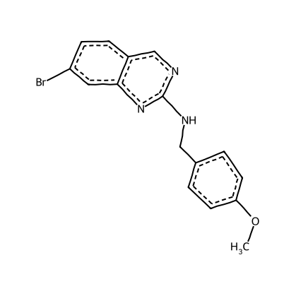 COc1ccc(CNc2ncc3ccc(Br)cc3n2)cc1